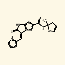 CC1(NC(=O)c2cc3c(s2)NC(=O)C3=Cc2ccc[nH]2)CC=CO1